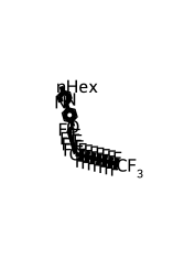 CCCCCCc1cnc(-c2ccc(OC(F)C(F)(F)C(F)(F)C(F)(F)OC(F)(F)C(F)(F)C(F)(F)C(F)(F)C(F)(F)C(F)(F)C(F)(F)C(F)(F)F)cc2)nc1